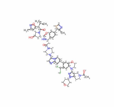 CC(=O)N1CCc2c(c(N3CCOc4cc(-c5ccn6c(N7CCN(C(=O)C[C@H](NC(=O)[C@@H]8C[C@@H](O)CN8C(=O)[C@@H](c8cc(C)no8)C(C)C)c8ccc(-c9scnc9C)cc8)CC7)cnc6c5)c(C(F)F)cc43)nn2C2CCOCC2)C1